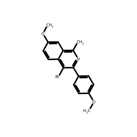 COc1ccc(-c2nc(C)c3cc(OC)ccc3c2Br)cc1